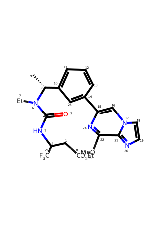 CCOC(=O)CC(NC(=O)N(CC)[C@H](C)c1cccc(-c2cn3ccnc3c(OC)n2)c1)C(F)(F)F